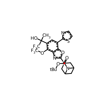 CC(C)(C)OC(=O)N1C2CC1CN(c1nc3c(OC(F)(F)F)c(C(C)(O)C(F)(F)F)cc(-c4nccs4)c3o1)C2